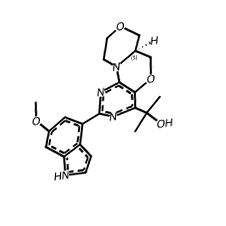 COc1cc(-c2nc3c(c(C(C)(C)O)n2)OC[C@@H]2COCCN32)c2cc[nH]c2c1